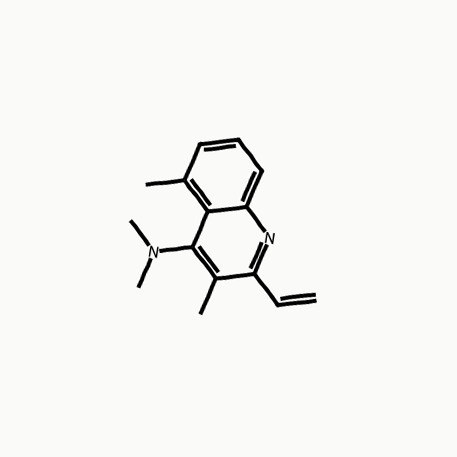 C=Cc1nc2cccc(C)c2c(N(C)C)c1C